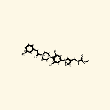 COC(=S)NCc1cn(-c2cc(F)c(N3CCN(C(=O)Cc4cccc(O)c4)CC3)c(F)c2)nn1